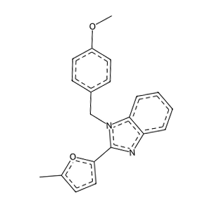 COc1ccc(Cn2c(-c3ccc(C)o3)nc3ccccc32)cc1